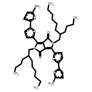 CCCCCCC(CCCC)CN1C(=O)C2=C(c3ccc(-c4ccc(N)s4)s3)N(CC(CCCC)CCCCCC)C(=O)C2=C1c1ccc(-c2ccc(N)s2)s1